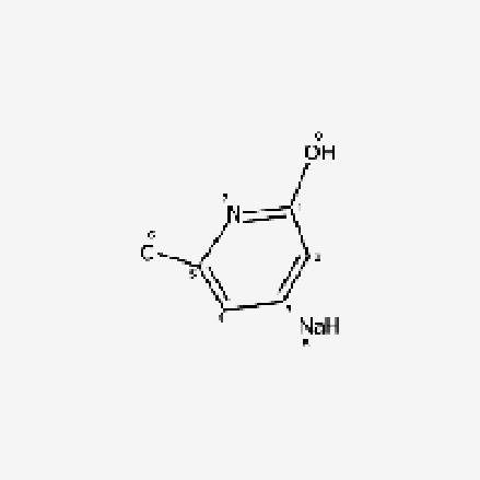 Oc1cccc(Cl)n1.[NaH]